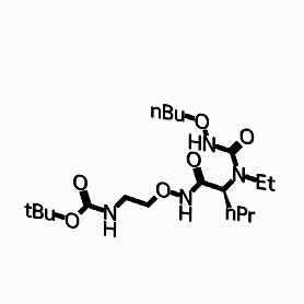 CCCCONC(=O)N(CC)[C@@H](CCC)C(=O)NOCCNC(=O)OC(C)(C)C